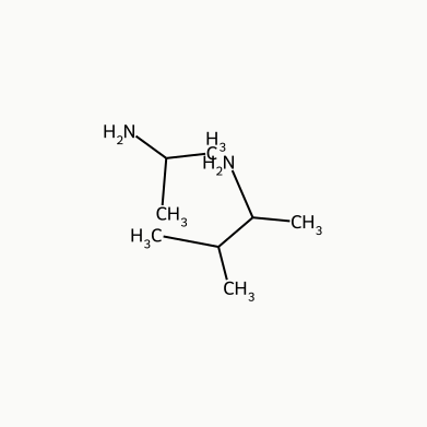 CC(C)C(C)N.CC(C)N